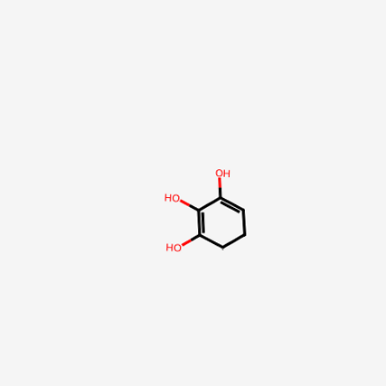 OC1=CC[CH]C(O)=C1O